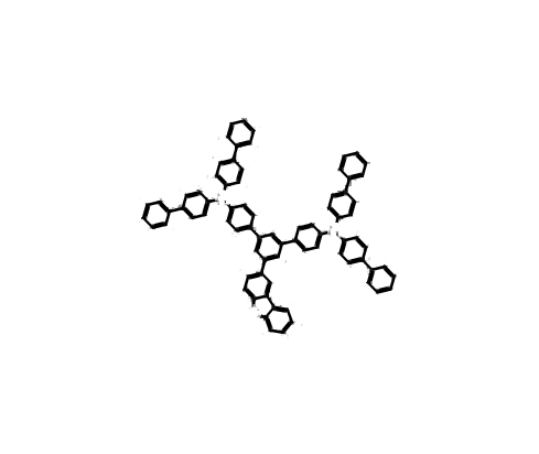 c1ccc(-c2ccc(N(c3ccc(-c4ccccc4)cc3)c3ccc(-c4cc(-c5ccc(N(c6ccc(-c7ccccc7)cc6)c6ccc(-c7ccccc7)cc6)cc5)cc(-c5ccc6oc7ccccc7c6c5)c4)cc3)cc2)cc1